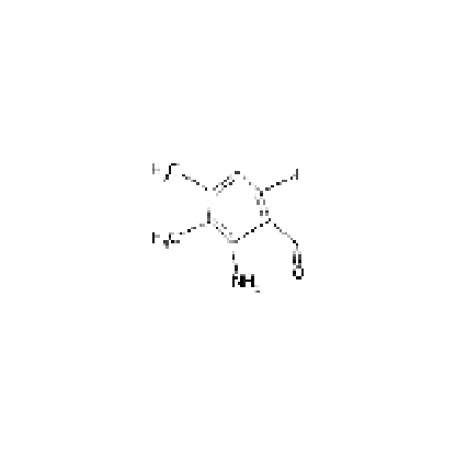 Cc1cc(F)c(C=O)c(N)c1C